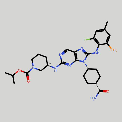 Cc1cc(F)c(Nc2nc3cnc(N[C@@H]4CCCN(C(=O)OC(C)C)C4)nc3n2[C@H]2CC[C@@H](C(N)=O)CC2)c(P)c1